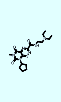 CCN(CC)CCNC(=O)c1nnc2c(n1)c(=O)n(C)c(=O)n2C1CCCC1